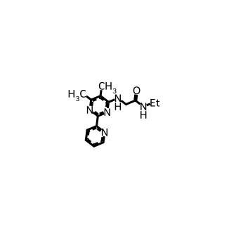 CCNC(=O)CNc1nc(-c2ccccn2)nc(C)c1C